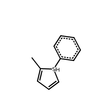 CC1=CC=C[SiH]1c1ccccc1